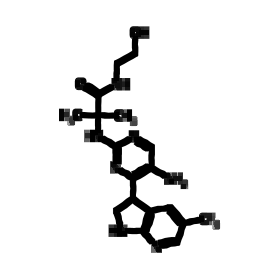 CC(C)(Nc1ncc(N)c(C2CNc3ncc(C(F)(F)F)cc32)n1)C(=O)NCCO